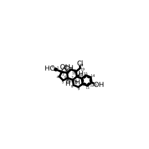 C#C[C@]1(O)CC[C@H]2[C@@H]3CCc4cc(O)ccc4[C@H]3C(CCl)C[C@@]21C